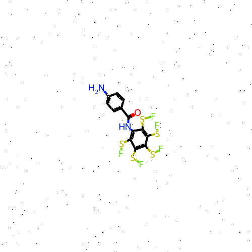 Nc1ccc(C(=O)Nc2c(SF)c(SF)c(SF)c(SF)c2SF)cc1